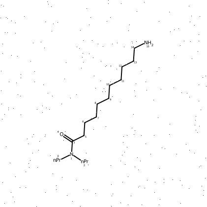 CCCN(CCC)C(=O)CCCCCCCCCCN